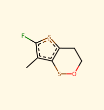 Cc1c(F)sc2c1SOCC2